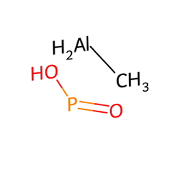 O=PO.[CH3][AlH2]